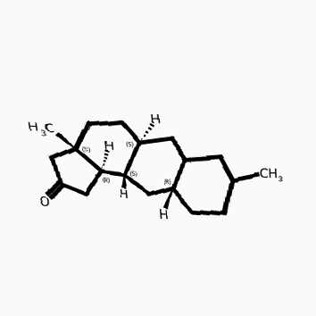 CC1CC[C@@H]2C[C@H]3[C@@H](CC[C@@]4(C)CC(=O)C[C@H]34)CC2C1